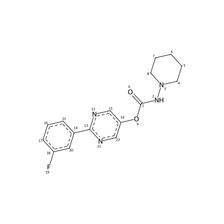 O=C(NN1CCCCC1)Oc1cnc(-c2cccc(F)c2)nc1